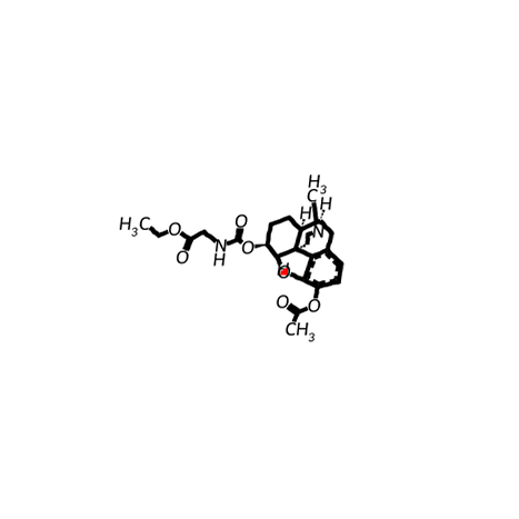 CCOC(=O)CNC(=O)O[C@H]1CC[C@H]2[C@H]3Cc4ccc(OC(C)=O)c5c4[C@@]2(CCN3C)[C@H]1O5